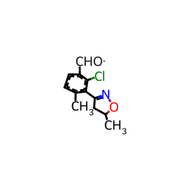 Cc1ccc([C]=O)c(Cl)c1C1=NOC(C)C1